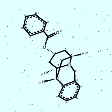 O=C(O[C@@H]1C[C@H]2C[C@@H]3c4ccccc4CN2[C@@H]3C1)c1ccccc1